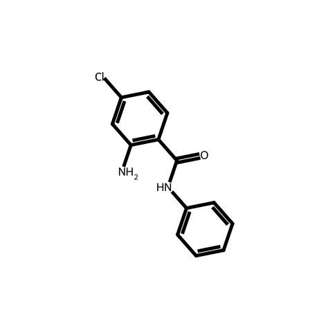 Nc1cc(Cl)ccc1C(=O)Nc1ccccc1